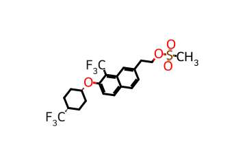 CS(=O)(=O)OCCc1ccc2ccc(O[C@H]3CC[C@@H](C(F)(F)F)CC3)c(C(F)(F)F)c2c1